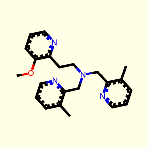 COc1cccnc1CCN(Cc1ncccc1C)Cc1ncccc1C